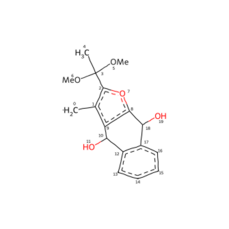 [CH2]c1c(C(C)(OC)OC)oc2c1C(O)c1ccccc1C2O